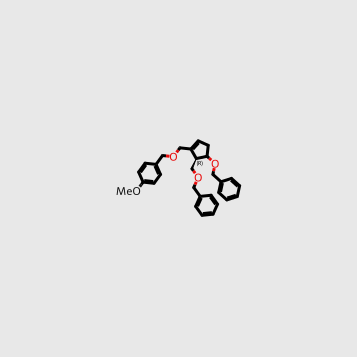 COc1ccc(COCC2=CCC(OCc3ccccc3)[C@H]2COCc2ccccc2)cc1